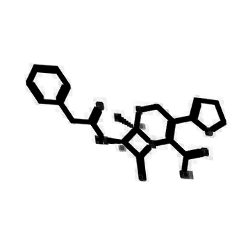 O=C(Cc1ccccc1)N[C@@H]1C(=O)N2C(C(=O)O)=C(C3=CCCO3)CS[C@H]12